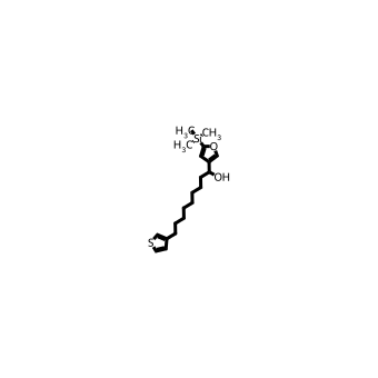 C[Si](C)(C)c1cc(C(O)CCCCCCCCc2ccsc2)co1